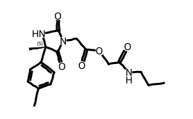 CCCNC(=O)COC(=O)CN1C(=O)N[C@@](C)(c2ccc(C)cc2)C1=O